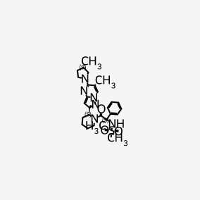 Cc1cn2nc([C@@H]3CCCCN3C(=O)[C@@](C)(NS(C)(=O)=O)c3ccccc3)cc2nc1N1CC[C@H](C)C1